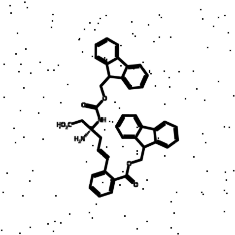 N[C@](CC=Cc1ccccc1C(=O)OCC1c2ccccc2-c2ccccc21)(CC(=O)O)NC(=O)OCC1c2ccccc2-c2ccccc21